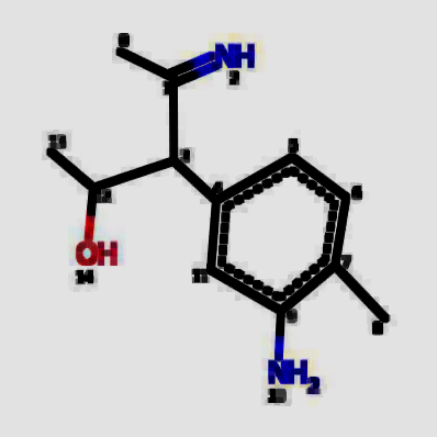 CC(=N)C(c1ccc(C)c(N)c1)C(C)O